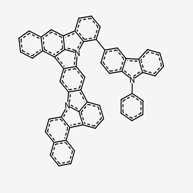 c1ccc(-n2c3ccccc3c3cc(-c4cccc5c6cc7ccccc7c7c8cc9c(cc8n(c45)c67)c4cccc5c6c7ccccc7ccc6n9c45)ccc32)cc1